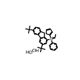 C[CH]=[Ti]([C]1=CC=CC1)([c]1ccccc1)[c]1cc(C(C)(C)C)cc2c1Cc1ccc(C(C)(C)C)cc1-2.Cl.Cl